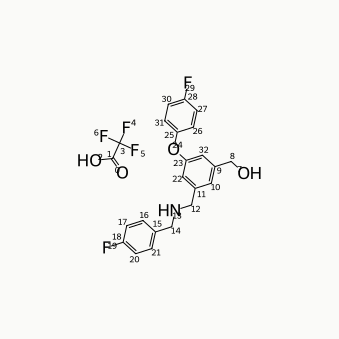 O=C(O)C(F)(F)F.OCc1cc(CNCc2ccc(F)cc2)cc(Oc2ccc(F)cc2)c1